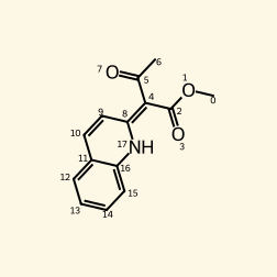 COC(=O)/C(C(C)=O)=C1/C=Cc2ccccc2N1